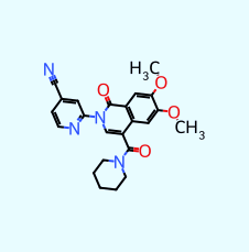 COc1cc2c(C(=O)N3CCCCC3)cn(-c3cc(C#N)ccn3)c(=O)c2cc1OC